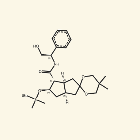 CC1(C)COC2(C[C@H]3C[C@@H](O[Si](C)(C)C(C)(C)C)[C@H](C(=O)N[C@@H](CO)c4ccccc4)[C@H]3C2)OC1